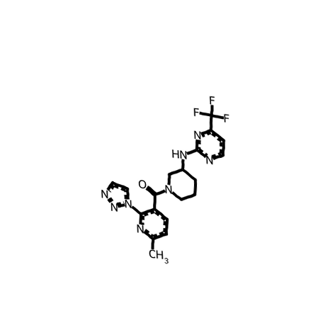 Cc1ccc(C(=O)N2CCCC(Nc3nccc(C(F)(F)F)n3)C2)c(-n2ccnn2)n1